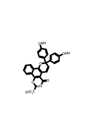 CCOC(=O)COc1c(C(=O)OC)c2c(c3ccccc13)OC(c1ccc(OC)cc1)(c1ccc(OC)cc1)C=C2